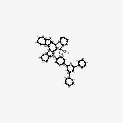 CC1(C)c2ccccc2-c2c1c1c(c3ccccc3n1-c1ccc(-c3cc(-c4ccccc4)cc(-c4ccccc4)n3)cc1)c1c2oc2ccccc21